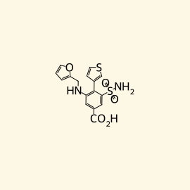 NS(=O)(=O)c1cc(C(=O)O)cc(NCc2ccco2)c1-c1ccsc1